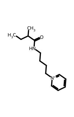 CCC(C)C(=O)NCCCC[n+]1ccccc1